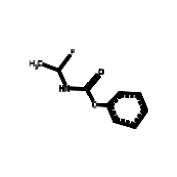 CC(F)NC(=O)Oc1ccccc1